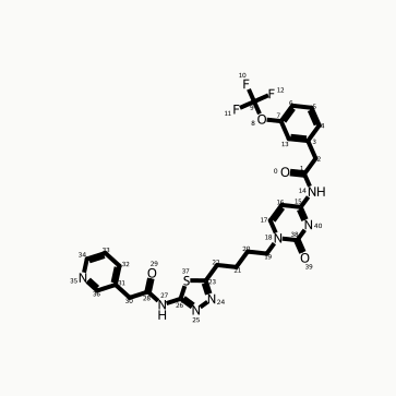 O=C(Cc1cccc(OC(F)(F)F)c1)Nc1ccn(CCCCc2nnc(NC(=O)Cc3cccnc3)s2)c(=O)n1